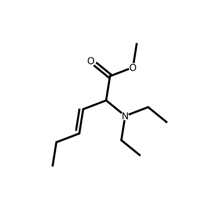 CCC=CC(C(=O)OC)N(CC)CC